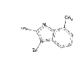 Cc1cccc2c1nc(S)[n]2[Zn]